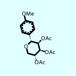 COc1ccc([C@H]2OC[C@@H](OC(C)=O)[C@H](OC(C)=O)[C@@H]2OC(C)=O)cc1